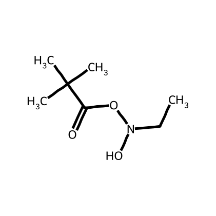 CCN(O)OC(=O)C(C)(C)C